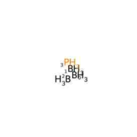 B.B.B.P